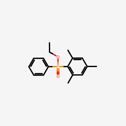 CCOP(=O)(c1ccccc1)c1c(C)cc(C)cc1C